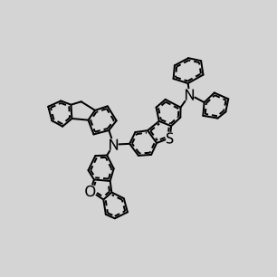 c1ccc(N(c2ccccc2)c2ccc3c(c2)sc2ccc(N(c4ccc5c(c4)-c4ccccc4C5)c4ccc5oc6ccccc6c5c4)cc23)cc1